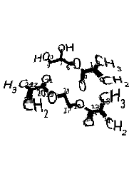 C=C(C)C(=O)OCC(O)CO.C=C(C)C(=O)OCCOC(=O)C(=C)C